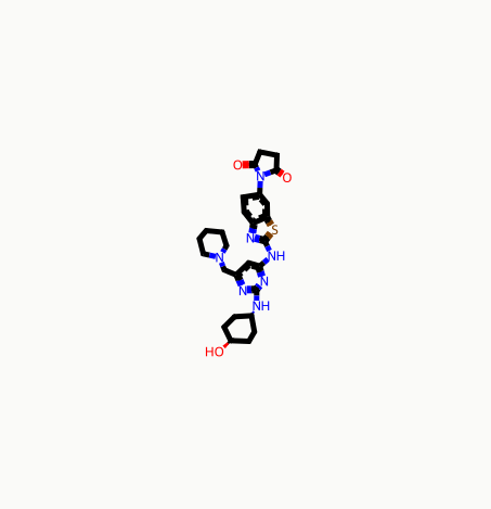 O=C1CCC(=O)N1c1ccc2nc(Nc3cc(CN4CCCCC4)nc(N[C@H]4CC[C@H](O)CC4)n3)sc2c1